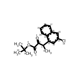 CC(C(=O)C(=O)OC(C)(C)C)c1cc(Cl)cc2ccccc12